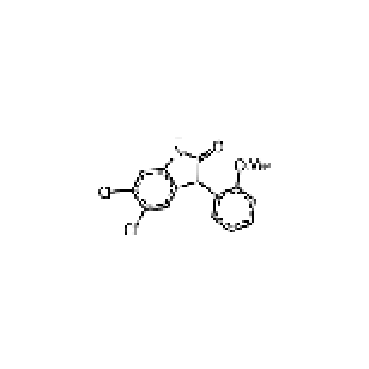 COc1ccccc1C1C(=O)Nc2cc(Cl)c(Cl)cc21